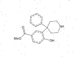 COC(=O)c1ccc(O)c(C2(c3ccccc3)CCNCC2)c1